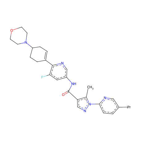 Cc1c(C(=O)Nc2cnc(C3=CCC(N4CCOCC4)CC3)c(F)c2)cnn1-c1ccc(C(C)C)cn1